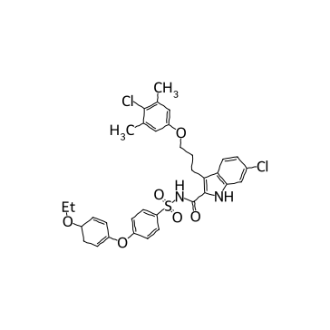 CCOC1C=CC(Oc2ccc(S(=O)(=O)NC(=O)c3[nH]c4cc(Cl)ccc4c3CCCOc3cc(C)c(Cl)c(C)c3)cc2)=CC1